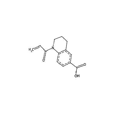 C=CC(=O)N1CCCc2cc(C(=O)O)ccc21